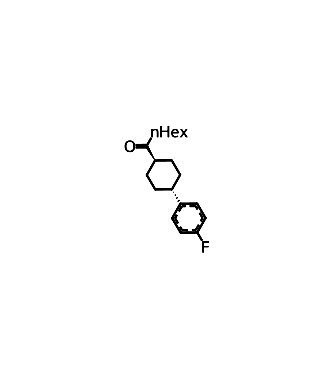 CCCCCCC(=O)[C@H]1CC[C@H](c2ccc(F)cc2)CC1